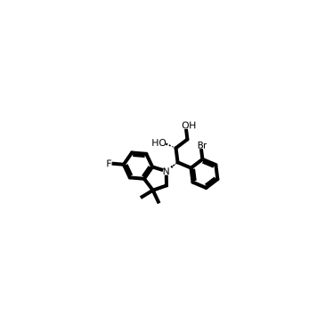 CC1(C)CN([C@@H](c2ccccc2Br)[C@H](O)CO)c2ccc(F)cc21